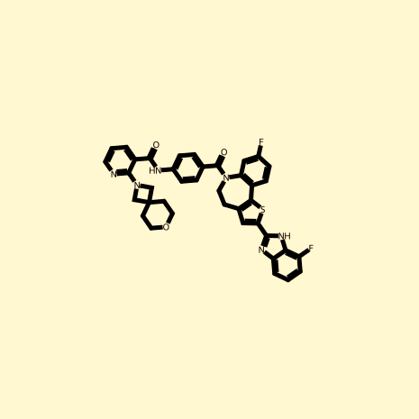 O=C(Nc1ccc(C(=O)N2CCc3cc(-c4nc5cccc(F)c5[nH]4)sc3-c3ccc(F)cc32)cc1)c1cccnc1N1CC2(CCOCC2)C1